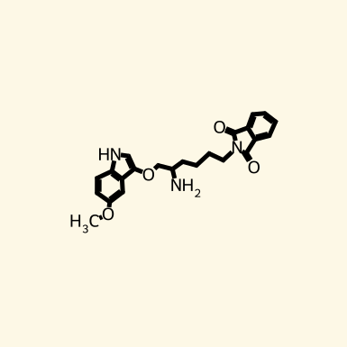 COc1ccc2[nH]cc(OCC(N)CCCCN3C(=O)c4ccccc4C3=O)c2c1